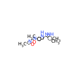 CC1CC(=O)N(CC(=O)N(C)c2ccc3cc(-c4n[nH]c5c4CCC(C)(C)C5)[nH]c3c2)C1